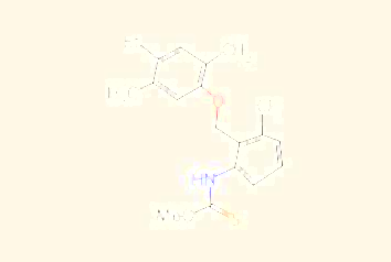 CCc1cc(C)c(OCc2c(NC(=S)OC)cccc2C(F)(F)F)cc1C